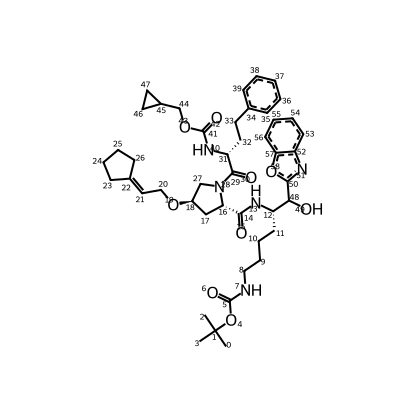 CC(C)(C)OC(=O)NCCCC[C@H](NC(=O)[C@@H]1C[C@@H](OCC=C2CCCC2)CN1C(=O)[C@@H](CCc1ccccc1)NC(=O)OCC1CC1)C(O)c1nc2ccccc2o1